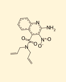 C=CCN(CC=C)S(=O)(=O)c1c([N+](=O)[O-])c(N)nc2ccccc12